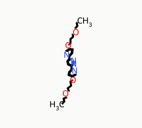 CCCCOCCCCOc1ccc(-c2ccc(-c3ccc(OCCCCOCCCC)cn3)nn2)nc1